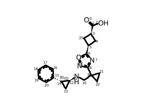 O=C(O)[C@H]1C[C@@H](c2nc(C3(CN[C@H]4C[C@@H]4c4ccccc4)CC3)no2)C1